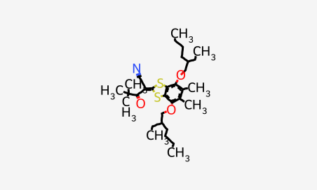 CCCCC(CC)COc1c(C)c(C)c(OCC(CC)CCCC)c2c1SC(=C(C#N)C(=O)C(C)(C)C)S2